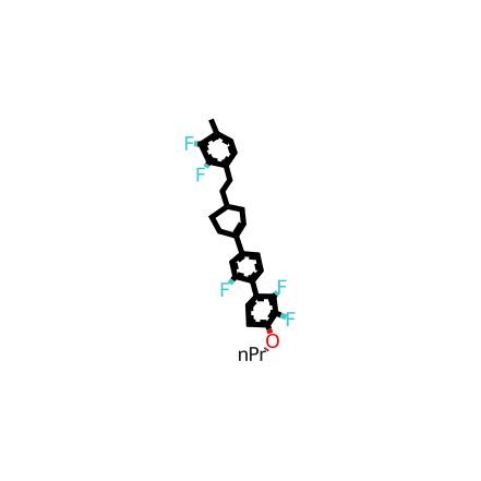 CCCOc1ccc(-c2ccc(C3=CCC(CCc4ccc(C)c(F)c4F)CC3)cc2F)c(F)c1F